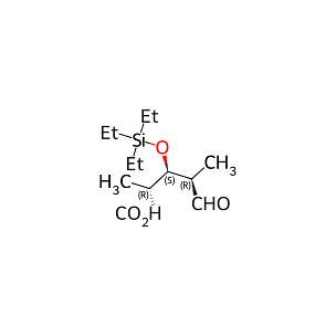 CC[Si](CC)(CC)O[C@@H]([C@@H](C)C=O)[C@@H](C)C(=O)O